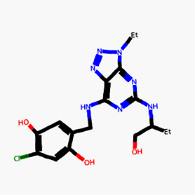 CCC(CO)Nc1nc(NCc2cc(O)c(Cl)cc2O)c2nnn(CC)c2n1